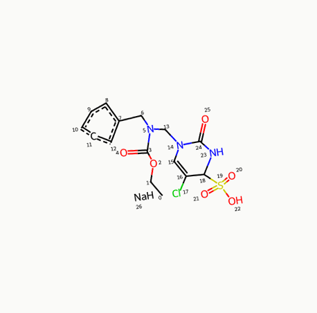 CCOC(=O)N(Cc1ccccc1)CN1C=C(Cl)C(S(=O)(=O)O)NC1=O.[NaH]